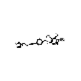 CC(C)(C)n1ncc(OCc2ccc(C#CCCn3ccnc3)cc2)c(Cl)c1=O